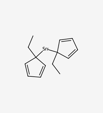 CC[C]1([Sn][C]2(CC)C=CC=C2)C=CC=C1